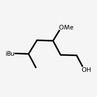 CCC(C)C(C)CC(CCO)OC